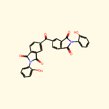 O=C(c1ccc2c(c1)C(=O)N(c1ccccc1O)C2=O)c1ccc2c(c1)C(=O)N(c1ccccc1O)C2=O